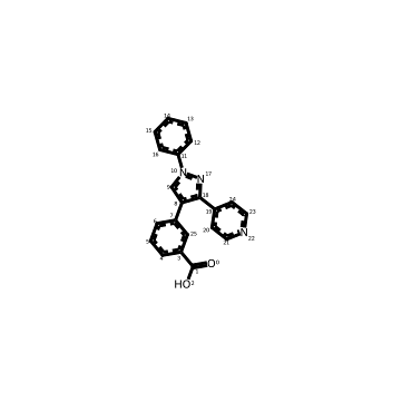 O=C(O)c1cccc(-c2cn(-c3ccccc3)nc2-c2ccncc2)c1